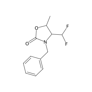 CC1OC(=O)N(Cc2ccccc2)C1C(F)F